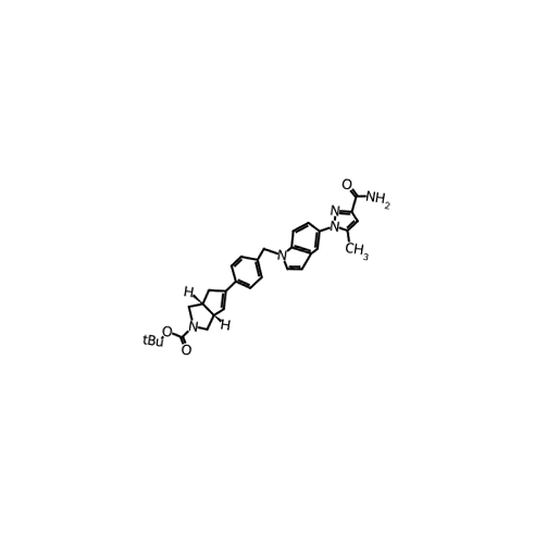 Cc1cc(C(N)=O)nn1-c1ccc2c(ccn2Cc2ccc(C3=C[C@@H]4CN(C(=O)OC(C)(C)C)C[C@@H]4C3)cc2)c1